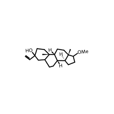 C=CC1(O)CC[C@@]2(C)C(CC[C@@H]3[C@H]2CC[C@]2(C)C(OC)CC[C@@H]32)C1